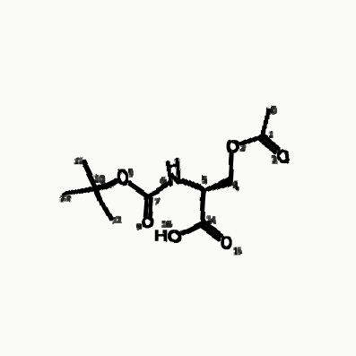 CC(=O)OC[C@H](NC(=O)OC(C)(C)C)C(=O)O